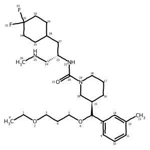 CCOCCCOC(c1cccc(C)c1)[C@@H]1CCCN(C(=O)N[C@H](CNC)CC2CCC(F)(F)CC2)C1